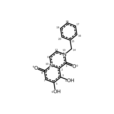 O=c1c2c(O)c(O)cc(=O)n2ccn1Cc1ccccc1